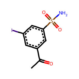 CC(=O)c1cc(I)cc(S(N)(=O)=O)c1